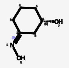 O/N=C1/CCC[C@H](O)C1